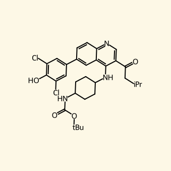 CC(C)CC(=O)c1cnc2ccc(-c3cc(Cl)c(O)c(Cl)c3)cc2c1NC1CCC(NC(=O)OC(C)(C)C)CC1